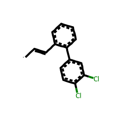 [CH2]C=Cc1ccccc1-c1ccc(Cl)c(Cl)c1